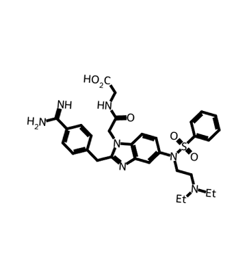 CCN(CC)CCN(c1ccc2c(c1)nc(Cc1ccc(C(=N)N)cc1)n2CC(=O)NCC(=O)O)S(=O)(=O)c1ccccc1